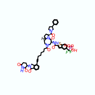 O=C1CCC(N2Cc3c(C#CCCCCCC(=O)N4CC[C@H]5CC[C@@H](C(=O)N6CCC(c7ccccc7)C6)N5C(=O)[C@@H](NC(=O)c5cc6cc(C(F)(F)P(=O)(O)O)ccc6s5)C4)cccc3C2=O)C(=O)N1